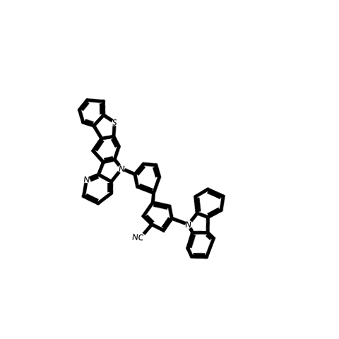 N#Cc1cc(-c2cccc(-n3c4cc5sc6ccccc6c5cc4c4ncccc43)c2)cc(-n2c3ccccc3c3ccccc32)c1